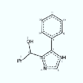 CC(C)C(O)c1nc[nH]c1-c1ccccc1